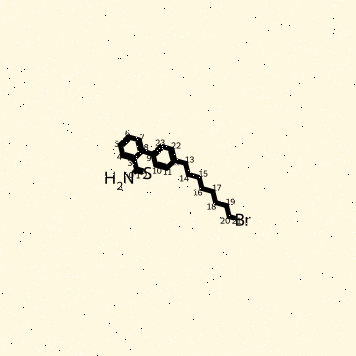 NC(=S)c1ccccc1-c1ccc(CCCCCCCCBr)cc1